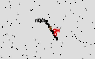 C=CCOCC(O)CSCCCCCCCCCCCC